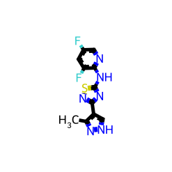 Cc1n[nH]cc1-c1nsc(Nc2ncc(F)cc2F)n1